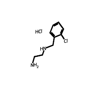 Cl.NCCNCc1ccccc1Cl